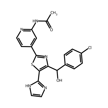 CC(=O)Nc1cc(-c2nc(C(O)c3ccc(Cl)cc3)c(-c3ncc[nH]3)s2)ccn1